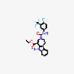 CCOC(=O)C1=CN(C(=O)Nc2ccc(F)c(C(F)(F)F)c2)CCc2c1[nH]c1ccccc21